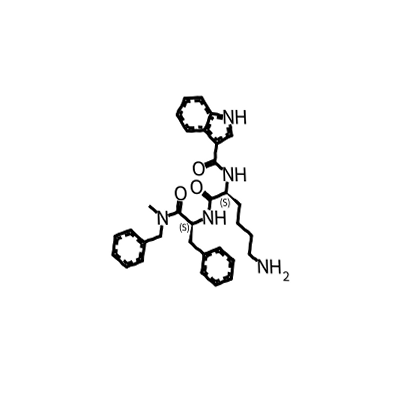 CN(Cc1ccccc1)C(=O)[C@H](Cc1ccccc1)NC(=O)[C@H](CCCCN)NC(=O)c1c[nH]c2ccccc12